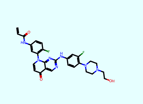 C=CC(=O)Nc1ccc(F)c(-n2ccc(=O)c3cnc(Nc4ccc(N5CCN(CCO)CC5)c(F)c4)nc32)c1